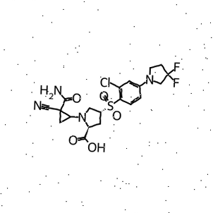 N#CC1(C(N)=O)CC1N1C[C@H](S(=O)(=O)c2ccc(N3CCC(F)(F)C3)cc2Cl)C[C@H]1C(=O)O